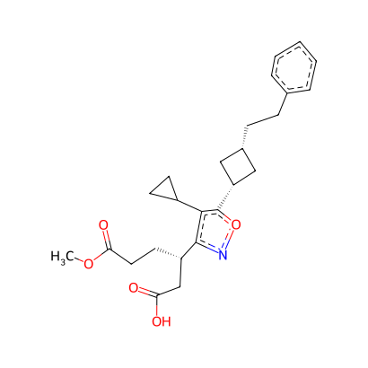 COC(=O)CC[C@@H](CC(=O)O)c1noc([C@H]2C[C@@H](CCc3ccccc3)C2)c1C1CC1